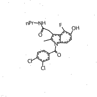 CCCNC(=O)Cc1c(C)n(C(=O)c2ccc(Cl)c(Cl)c2)c2ccc(O)c(F)c12